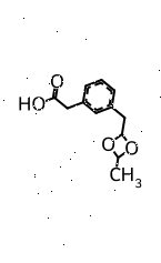 CC1OC(Cc2cccc(CC(=O)O)c2)O1